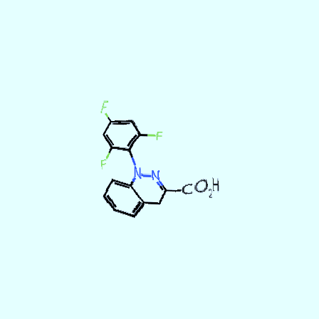 O=C(O)C1=NN(c2c(F)cc(F)cc2F)c2ccccc2C1